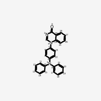 O=c1ncn(-c2ccc(N(c3ccccc3)c3ccccc3)cc2)c2ccccc12